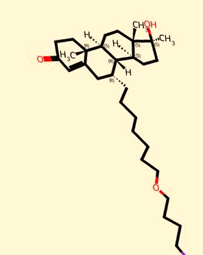 C[C@]12CCC(=O)C=C1C[C@@H](CCCCCCCOCCCCI)[C@@H]1[C@@H]2CC[C@@]2(C)[C@H]1CC[C@]2(C)O